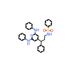 O=S(=O)(NCCC(c1ccccc1)c1cc(Nc2ccccc2)nc(Nc2ccccc2)c1)c1ccccc1